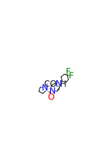 O=C([C@@H]1CCCN1C(=O)O)N1CCN(C2CCC(F)(F)CC2)CC1